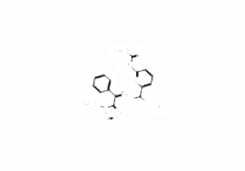 CC(ON=C(c1ccccc1)c1nnnn1C)c1cccc(NC(=O)O)n1